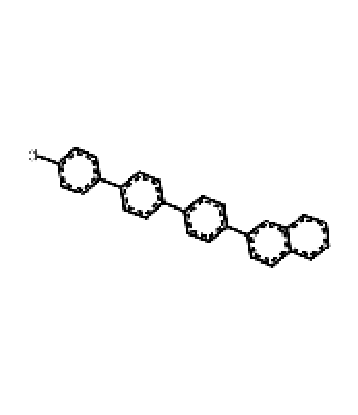 Clc1ccc(-c2ccc(-c3ccc(-c4ccc5ccccc5c4)cc3)cc2)cc1